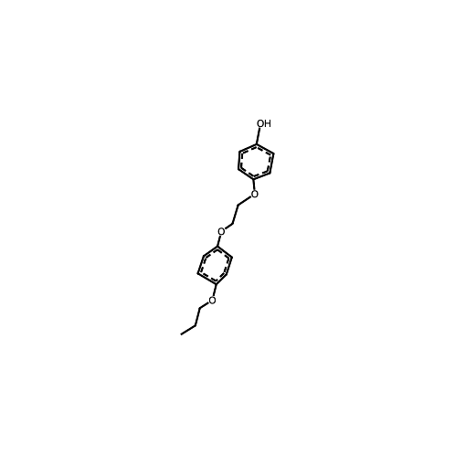 CCCOc1ccc(OCCOc2ccc(O)cc2)cc1